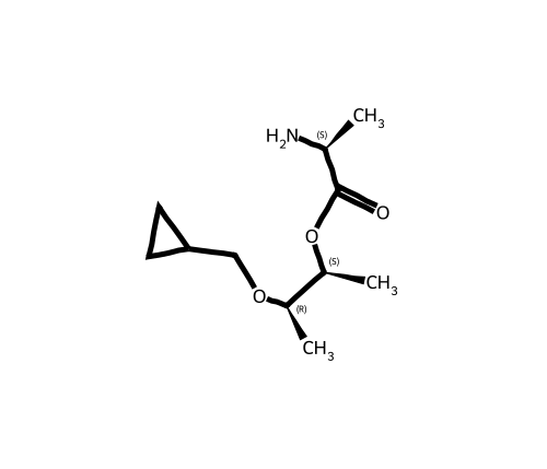 C[C@H](N)C(=O)O[C@@H](C)[C@@H](C)OCC1CC1